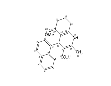 COc1ccc2ccccc2c1C1C(C(=O)O)=C(C)NC2=C1C(=O)CCC2